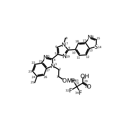 COCCn1c(-c2cn(C)c(-c3ccc4scnc4c3)n2)nc2ccc(C)cc21.O=C(O)C(F)(F)F